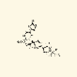 Cc1nc(S(C)(=O)=O)ccc1-c1ccc2nc(O[C@@H](C)C3CCN(c4nc(C(C)C)no4)CC3)sc2n1